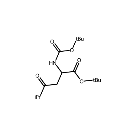 CC(C)C(=O)CC(NC(=O)OC(C)(C)C)C(=O)OC(C)(C)C